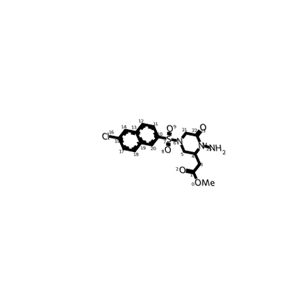 COC(=O)CC1CN(S(=O)(=O)c2ccc3cc(Cl)ccc3c2)CC(=O)N1N